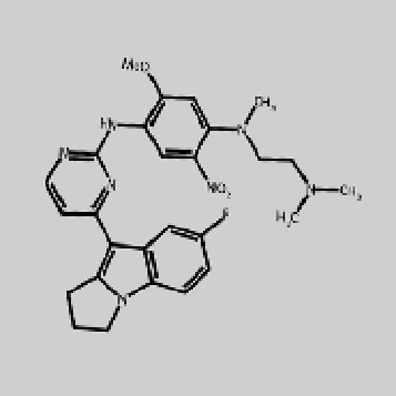 COc1cc(N(C)CCN(C)C)c([N+](=O)[O-])cc1Nc1nccc(-c2c3n(c4ccc(F)cc24)CCC3)n1